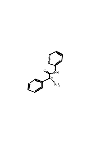 N[C@H](C(=O)Nc1ccccc1)c1ccccc1